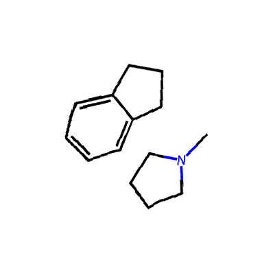 CN1CCCC1.c1ccc2c(c1)CCC2